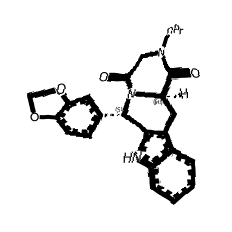 CCCN1CC(=O)N2[C@@H](c3ccc4c(c3)OCO4)c3[nH]c4ccccc4c3C[C@@H]2C1=O